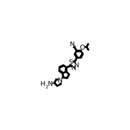 CC(C)Oc1ccc(-c2nnc(-c3cccc4c3CCC4N3CC[C@@H](N)C3)s2)cc1C#N